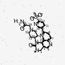 CN1Cc2cnc3ccc(-c4ccc(S(C)(=O)=O)nc4)nc3c2N(C2CCN(CC(N)=O)CC2)C1=O